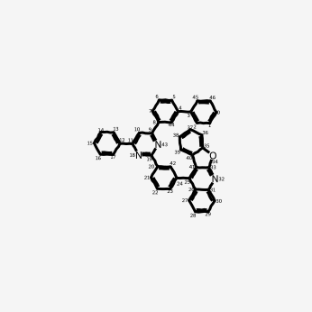 c1ccc(-c2cccc(-c3cc(-c4ccccc4)nc(-c4cccc(-c5c6ccccc6nc6oc7ccccc7c56)c4)n3)c2)cc1